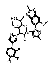 CO[C@H]1C(C(C)O)O[C@@H](c2nc(C)nn2-c2cc3sc(C)nc3cc2SC)C(O)C1n1cc(-c2ccc(Cl)c(F)c2F)cn1